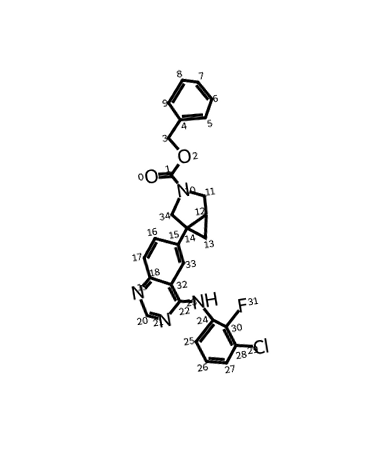 O=C(OCc1ccccc1)N1CC2CC2(c2ccc3ncnc(Nc4cccc(Cl)c4F)c3c2)C1